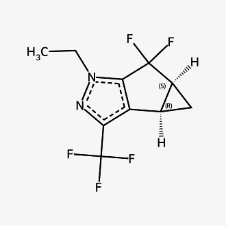 CCn1nc(C(F)(F)F)c2c1C(F)(F)[C@H]1C[C@@H]21